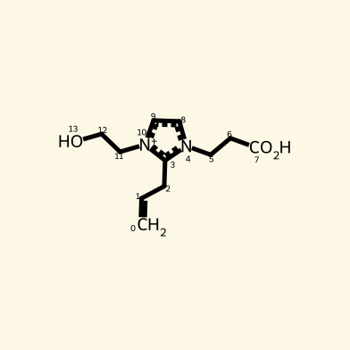 C=CCc1n(CCC(=O)O)cc[n+]1CCO